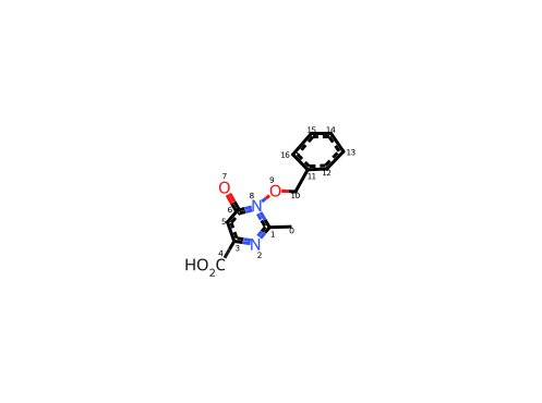 Cc1nc(C(=O)O)cc(=O)n1OCc1ccccc1